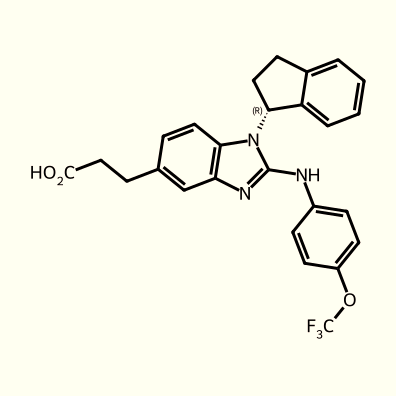 O=C(O)CCc1ccc2c(c1)nc(Nc1ccc(OC(F)(F)F)cc1)n2[C@@H]1CCc2ccccc21